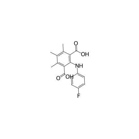 Cc1c(C)c(C(=O)O)c(Nc2ccc(F)cc2)c(C(=O)O)c1C